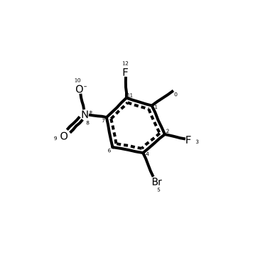 Cc1c(F)c(Br)cc([N+](=O)[O-])c1F